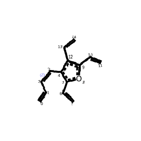 C=C/C=C\c1c(C=C)oc(C=C)c1C=C